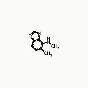 CNc1c(C)ccc2ocnc12